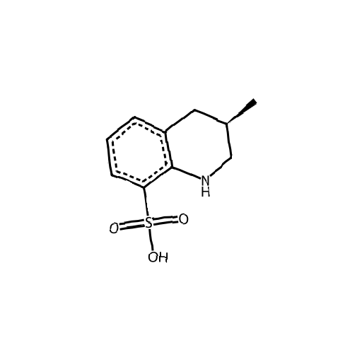 C[C@H]1CNc2c(cccc2S(=O)(=O)O)C1